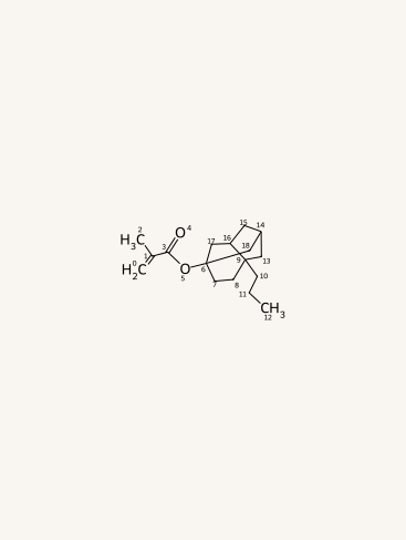 C=C(C)C(=O)OC12CCC3(CCC)CC(CC3C1)C2